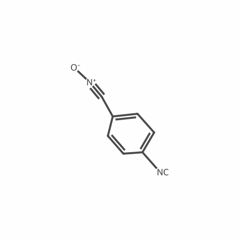 [C-]#[N+]c1ccc(C#[N+][O-])cc1